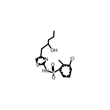 CCCC(O)Cc1csc(NS(=O)(=O)c2cccc(Cl)c2C)n1